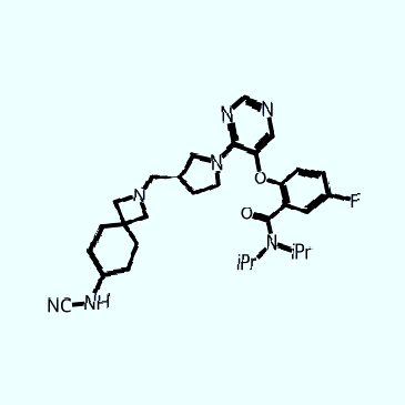 CC(C)N(C(=O)c1cc(F)ccc1Oc1cncnc1N1CC[C@@H](CN2CC3(CCC(NC#N)CC3)C2)C1)C(C)C